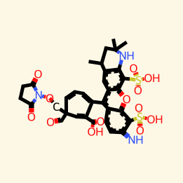 CC1CC(C)(C)Nc2c1cc1c(C3=CC=CC(C=O)(CON4C(=O)CCC4=O)C=C3C(=O)O)c3ccc(=N)c(S(=O)(=O)O)c-3oc1c2S(=O)(=O)O